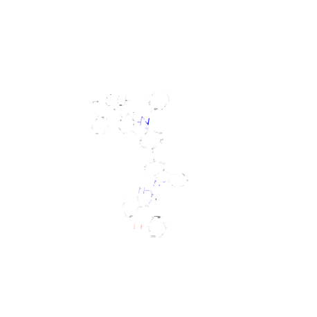 CC1(C)c2ccccc2-c2cc3c4cc(-c5ccc6c(c5)c5ccccc5n6-c5nc6c7c(cccc7n5)Oc5ccccc5-6)ccc4n(-c4ccccc4)c3cc21